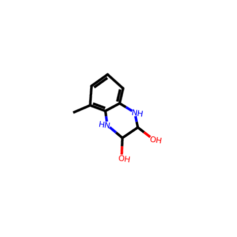 Cc1cccc2c1NC(O)C(O)N2